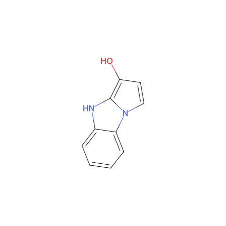 Oc1ccn2c1[nH]c1ccccc12